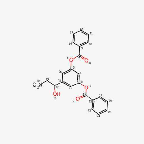 O=C(Oc1cc(OC(=O)c2ccccc2)cc(C(O)C[N+](=O)[O-])c1)c1ccccc1